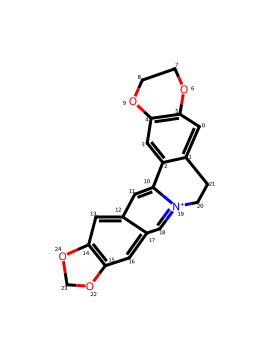 c1c2c(cc3c1OCCO3)-c1cc3cc4c(cc3c[n+]1CC2)OCO4